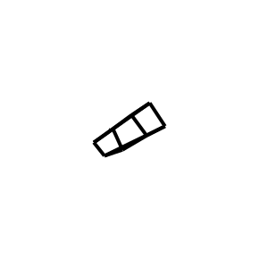 [C]12C3C4C1C1C2C3C41